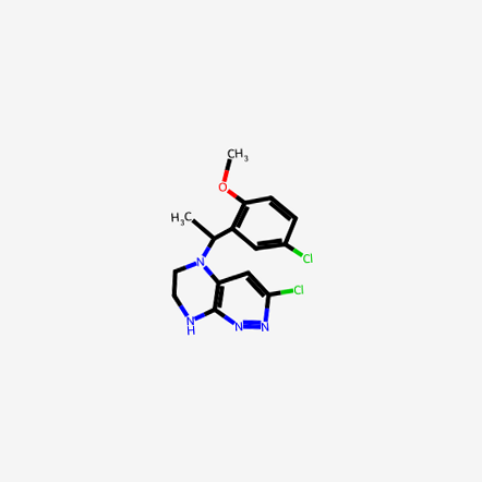 COc1ccc(Cl)cc1C(C)N1CCNc2nnc(Cl)cc21